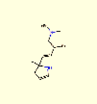 CCCN(C)CC(C=CC1(C)CC=CN1)CC